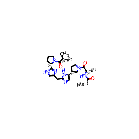 COC(=O)N[C@H](C(=O)N1CC[C@H](c2cnc(Cc3c[nH]c([C@@H]4CCCN4C(=O)[C@@H](C)C(C)C)n3)[nH]2)C1)C(C)C